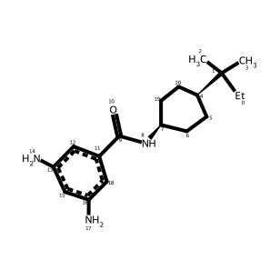 CCC(C)(C)[C@H]1CC[C@@H](NC(=O)c2cc(N)cc(N)c2)CC1